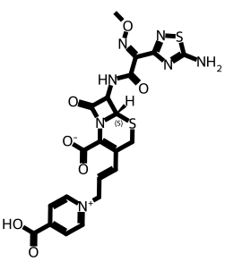 CON=C(C(=O)NC1C(=O)N2C(C(=O)[O-])=C(C=CC[n+]3ccc(C(=O)O)cc3)CS[C@@H]12)c1nsc(N)n1